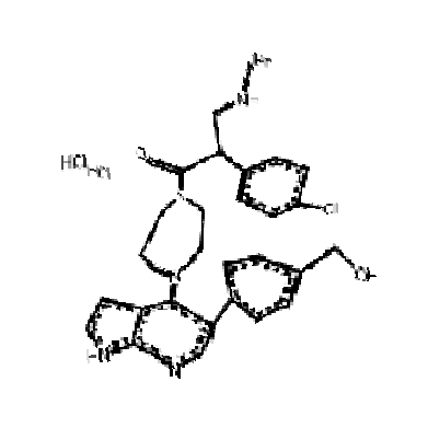 CC(C)NCC(C(=O)N1CCN(c2c(-c3ccc(CO)cc3)cnc3[nH]ccc23)CC1)c1ccc(Cl)cc1.Cl.Cl